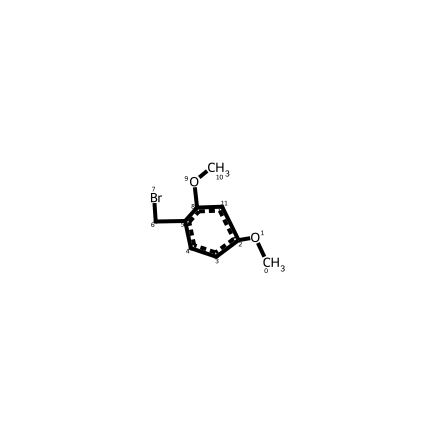 COc1ccc(CBr)c(OC)c1